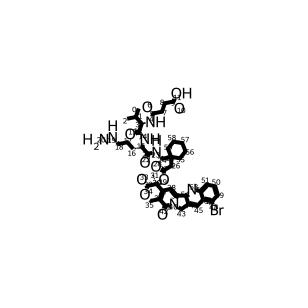 CC(C)[C@H](NC(=O)CCC(=O)O)C(=O)N[C@@H](CCCNN)C(=O)NCC1(CC(=O)O[C@]2(C)C(=O)OCc3c2cc2n(c3=O)Cc3cc4c(Br)cccc4nc3-2)CCCCC1